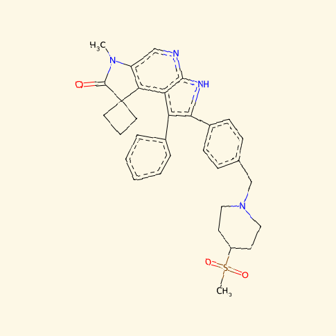 CN1C(=O)C2(CCC2)c2c1cnc1[nH]c(-c3ccc(CN4CCC(S(C)(=O)=O)CC4)cc3)c(-c3ccccc3)c21